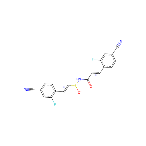 N#Cc1ccc(/C=C/C(=O)N[S+]([O-])/C=C/c2ccc(C#N)cc2F)c(F)c1